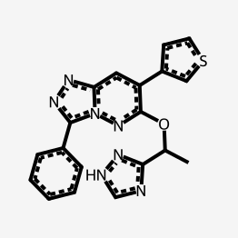 CC(Oc1nn2c(-c3ccccc3)nnc2cc1-c1ccsc1)c1nc[nH]n1